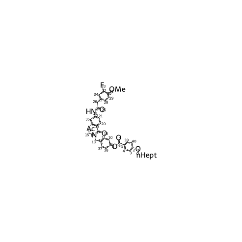 CCCCCCCOc1ccc(C(=O)Oc2ccc(CN(CC(C)=O)C(=O)c3ccc(NC(=O)Cc4ccc(OC)c(F)c4)cc3)cc2)cc1